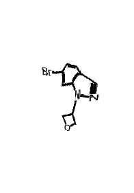 Brc1ccc2cnn(C3COC3)c2c1